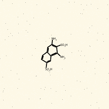 Nc1cc2ccc(S(=O)(=O)O)cc2c(N)c1S(=O)(=O)O